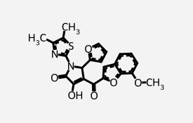 COc1cccc2cc(C(=O)C3=C(O)C(=O)N(c4nc(C)c(C)s4)C3c3ccco3)oc12